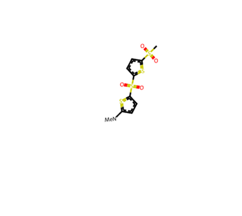 CNc1ccc(S(=O)(=O)c2ccc(S(C)(=O)=O)s2)s1